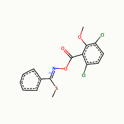 COc1c(Cl)ccc(Cl)c1C(=O)O/N=C(\SC)c1ccccc1